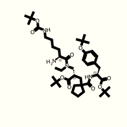 CCN(C[C@H](CC1(C(=O)N[C@@H](Cc2ccc(OC(C)(C)C)cc2)C(=O)OC(C)(C)C)CCCC1)C(=O)OC(C)(C)C)C(=O)[C@@H](N)CCCCNC(=O)OC(C)(C)C